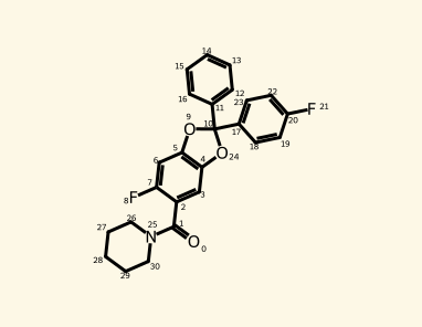 O=C(c1cc2c(cc1F)OC(c1ccccc1)(c1ccc(F)cc1)O2)N1CCCCC1